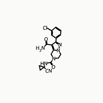 N#CC1(NC(=O)N2CCn3nc(-c4cccc(Cl)c4)c(C(N)=O)c3C2)CC1